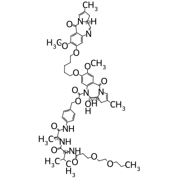 CCCOCCOCCC(=O)N[C@H](C(=O)N[C@@H](C)C(=O)Nc1ccc(COC(=O)N2c3cc(OCCCCCOc4cc5c(cc4OC)C(=O)N4C=C(C)C[C@H]4C=N5)c(OC)cc3C(=O)N3C=C(C)C[C@H]3[C@@H]2O)cc1)C(C)C